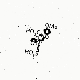 COc1ccc2c(c1)N(CC(=O)O)C(=Cc1oc3ccoc3[n+]1CCCS(=O)(=O)O)O2